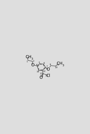 CCCOc1ccc(OCCC)c(C(=O)Cl)c1